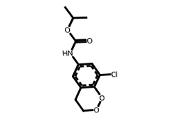 CC(C)OC(=O)Nc1cc(Cl)c2c(c1)CCOO2